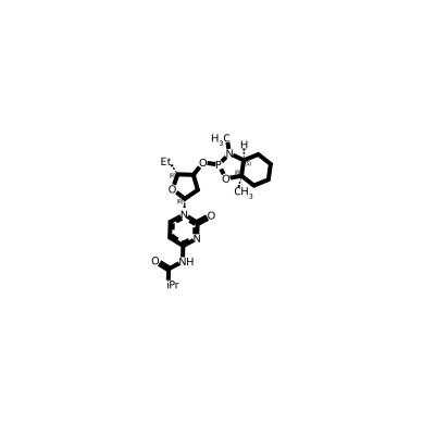 CC[C@H]1O[C@@H](n2ccc(NC(=O)C(C)C)nc2=O)CC1OP1O[C@]2(C)CCCC[C@@H]2N1C